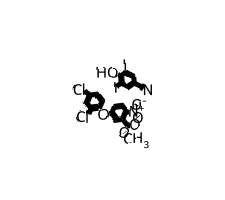 COC(=O)c1cc(Oc2ccc(Cl)cc2Cl)ccc1[N+](=O)[O-].N#Cc1cc(I)c(O)c(I)c1